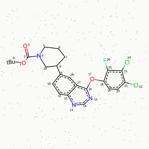 CC(C)(C)OC(=O)N1CCCC(c2ccc3ncnc(Oc4ccc(Cl)c(Cl)c4F)c3c2)C1